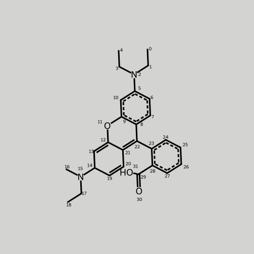 CCN(CC)c1ccc2c(c1)OC1=CC(N(C)CC)C=CC1=C2c1ccccc1C(=O)O